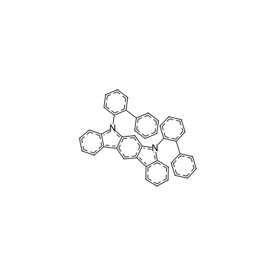 c1ccc(-c2ccccc2-n2c3ccccc3c3cc4c5ccccc5n(-c5ccccc5-c5ccccc5)c4cc32)cc1